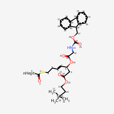 CCCCCCCC(=O)SCC/C=C/[C@H](CC(=O)OCC[Si](C)(C)C)OC(=O)CNC(=O)OCC1c2ccccc2-c2ccccc21